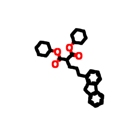 O=C(OC1CCCCC1)C(CCCc1cccc2c1Cc1ccccc1-2)C(=O)OC1CCCCC1